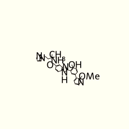 COc1ncccc1-c1ccc(O)c(-c2nc3cc(C(=O)NC(C)CCn4cccn4)ccc3[nH]2)c1